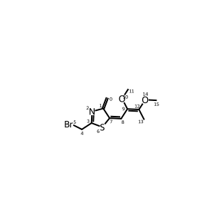 C=c1nc(CBr)s/c1=C/C(OC)=C(\C)OC